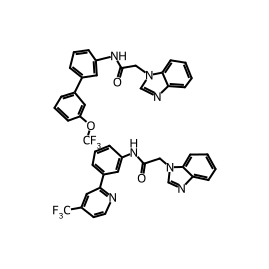 O=C(Cn1cnc2ccccc21)Nc1cccc(-c2cc(C(F)(F)F)ccn2)c1.O=C(Cn1cnc2ccccc21)Nc1cccc(-c2cccc(OC(F)(F)F)c2)c1